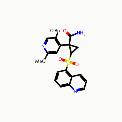 COc1cc(C2(C(N)=O)CC2S(=O)(=O)c2cccc3ncccc23)c(OCC(C)C)cn1